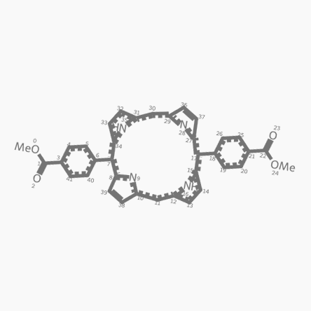 COC(=O)c1ccc(-c2c3nc(cc4ccc([nH]4)c(-c4ccc(C(=O)OC)cc4)c4nc(cc5ccc2[nH]5)C=C4)C=C3)cc1